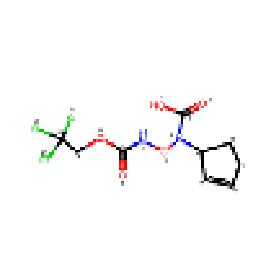 O=C(NON(C(=O)O)C1C=CCC1)OCC(Cl)(Cl)Cl